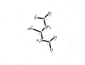 CCCN([SiH2]N(CC)CC)[SiH2]N(CC)CC